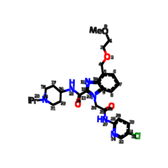 COCCOCc1cccc2c1nc(C(=O)NC1CCN(C(C)C)CC1)n2CC(=O)Nc1ccc(Cl)cn1